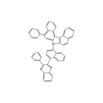 c1ccc(-c2nc3ccccc3nc2-c2ccc(-n3c4ccc5ccccc5c4c4c5ccccc5c(-c5ccccc5)cc43)c3ccccc23)cc1